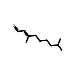 C/C(=C\C=O)CCCCC(C)C